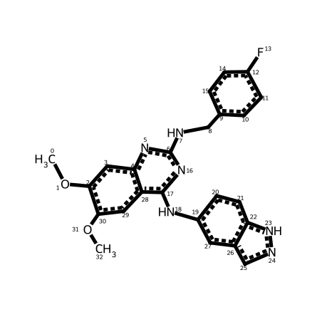 COc1cc2nc(NCc3ccc(F)cc3)nc(Nc3ccc4[nH]ncc4c3)c2cc1OC